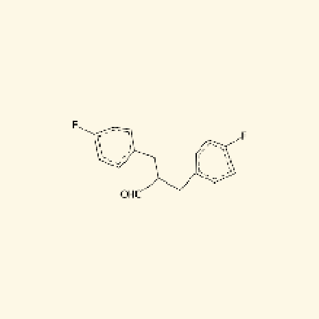 O=[C]C(Cc1ccc(F)cc1)Cc1ccc(F)cc1